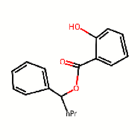 CCCC(OC(=O)c1ccccc1O)c1ccccc1